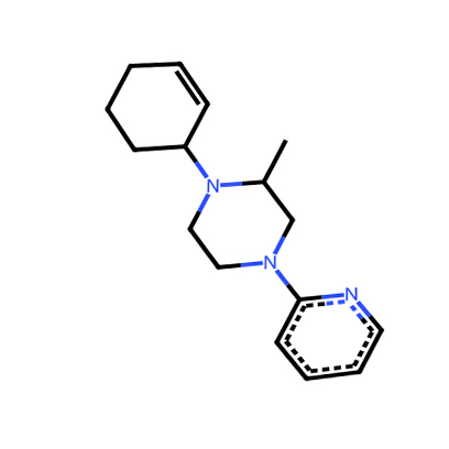 CC1CN(c2ccccn2)CCN1C1C=CCCC1